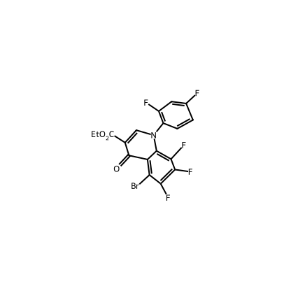 CCOC(=O)c1cn(-c2ccc(F)cc2F)c2c(F)c(F)c(F)c(Br)c2c1=O